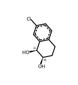 O[C@@H]1CCc2ccc(Cl)cc2[C@@H]1O